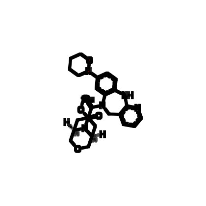 CC(C)(C)OC(=O)N1[C@@H]2COC[C@H]1CC(C(=O)N1Cc3cccnc3Nc3ccc(N4CC5CCC4CO5)cc31)C2